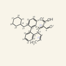 C/C=C\N(/N=C(\C=O)C(=O)O)c1ccccc1-c1ccccc1CC1CCCCC1